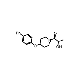 C[C@@H](O)C(=O)N1CCC(Oc2ccc(Br)cc2)CC1